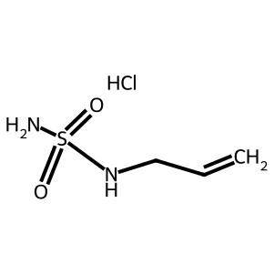 C=CCNS(N)(=O)=O.Cl